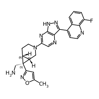 Cc1cc([C@@]2(CN)[C@@H]3CCN(c4cnc5c(-c6ccnc7c(F)cccc67)n[nH]c5n4)C[C@@H]32)no1